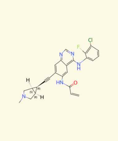 C=CC(=O)Nc1cc2c(Nc3cccc(Cl)c3F)ncnc2cc1C#C[C@H]1[C@H]2CN(C)C[C@@H]12